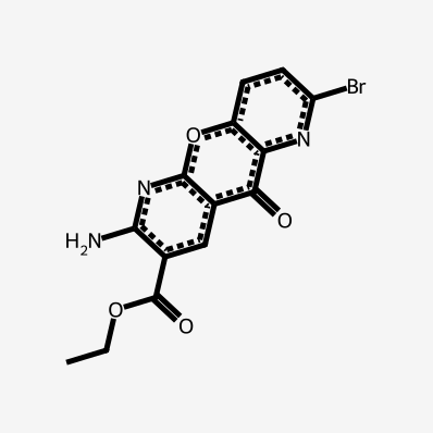 CCOC(=O)c1cc2c(=O)c3nc(Br)ccc3oc2nc1N